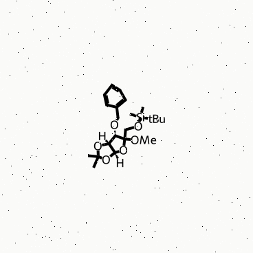 COC1(CO[Si](C)(C)C(C)(C)C)O[C@@H]2OC(C)(C)O[C@@H]2[C@@H]1OCc1ccccc1